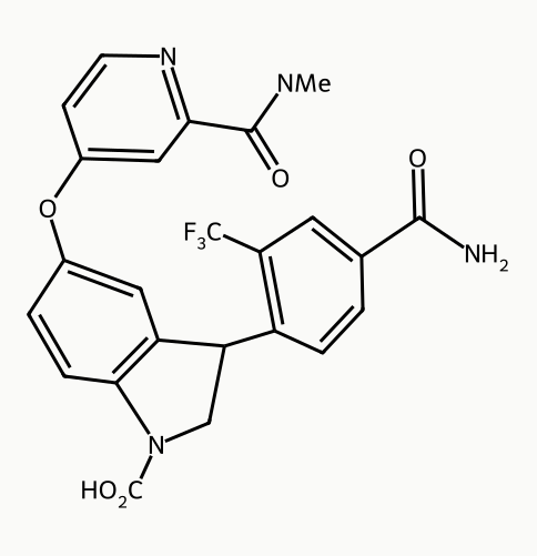 CNC(=O)c1cc(Oc2ccc3c(c2)C(c2ccc(C(N)=O)cc2C(F)(F)F)CN3C(=O)O)ccn1